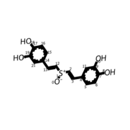 [O-][S+](/C=C/c1ccc(O)c(O)c1)/C=C/c1ccc(O)c(O)c1